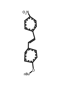 CCCCOc1ccc(/C=C/c2ccc([N+](=O)[O-])cc2)cc1